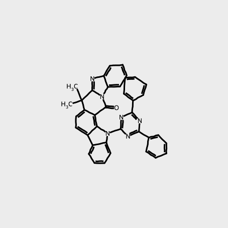 CC1(C)c2ccc3c4ccccc4n(-c4nc(-c5ccccc5)nc(-c5ccccc5)n4)c3c2C(=O)n2c1nc1ccccc12